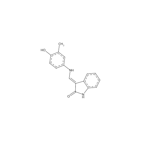 Cc1cc(N/C=C2/C(=O)Nc3ccccc32)ccc1O